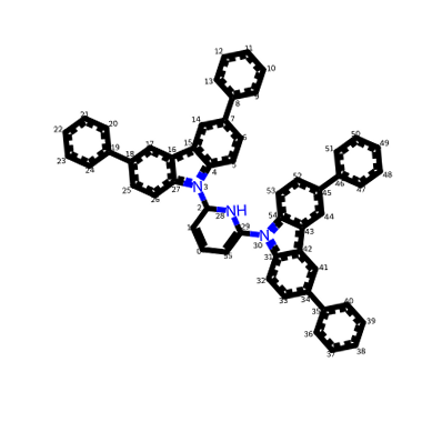 C1=CC(n2c3ccc(-c4ccccc4)cc3c3cc(-c4ccccc4)ccc32)NC(n2c3ccc(-c4ccccc4)cc3c3cc(-c4ccccc4)ccc32)=C1